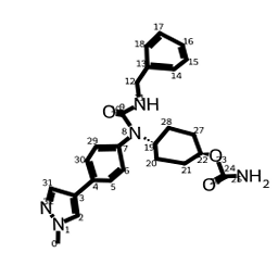 Cn1cc(-c2ccc(N(C(=O)NCc3ccccc3)[C@H]3CC[C@H](OC(N)=O)CC3)cc2)cn1